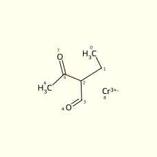 CCC(C=O)C(C)=O.[Cr+3]